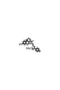 CON=C(CCCNC(C)C1CCCC2(C)c3ccc(C(C)C)cc3CCC12)c1ccc(F)cc1